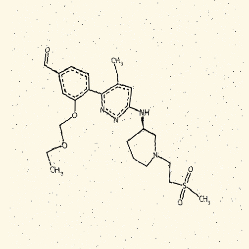 CCOCOc1cc(C=O)ccc1-c1nnc(N[C@@H]2CCCN(CCS(C)(=O)=O)C2)cc1C